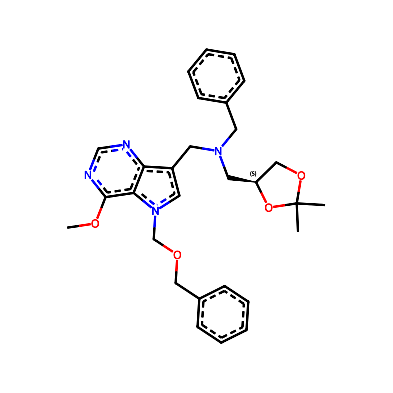 COc1ncnc2c(CN(Cc3ccccc3)C[C@H]3COC(C)(C)O3)cn(COCc3ccccc3)c12